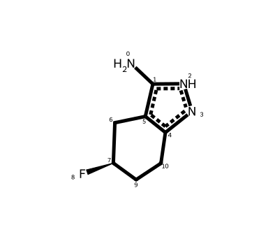 Nc1[nH]nc2c1C[C@H](F)CC2